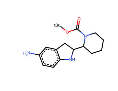 CC(C)(C)OC(=O)N1CCCCC1C1Cc2cc(N)ccc2N1